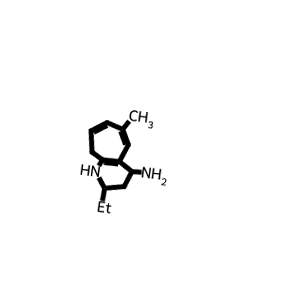 CCC1CC(N)C2=C(CC=CC(C)=C2)N1